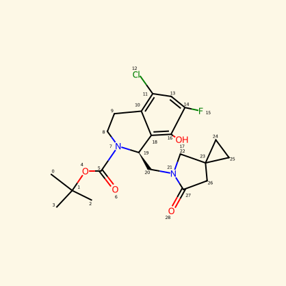 CC(C)(C)OC(=O)N1CCc2c(Cl)cc(F)c(O)c2[C@H]1CN1CC2(CC2)CC1=O